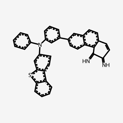 N=C1C=Cc2ccc3cc(-c4cccc(N(c5ccccc5)c5ccc6c(c5)sc5ccccc56)c4)ccc3c2C1=N